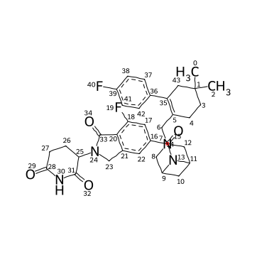 CC1(C)CCC(CN2CC3CC(C2)N3C(=O)c2cc(F)c3c(c2)CN(C2CCC(=O)NC2=O)C3=O)=C(c2ccc(F)cc2)C1